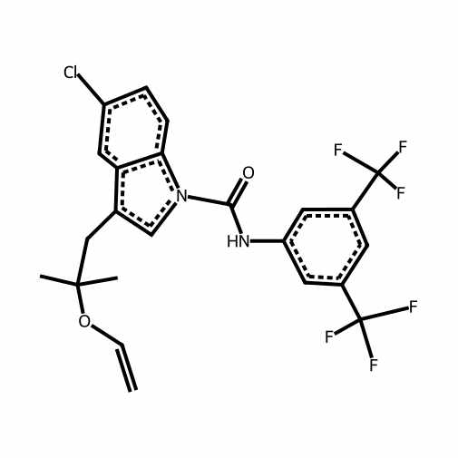 C=COC(C)(C)Cc1cn(C(=O)Nc2cc(C(F)(F)F)cc(C(F)(F)F)c2)c2ccc(Cl)cc12